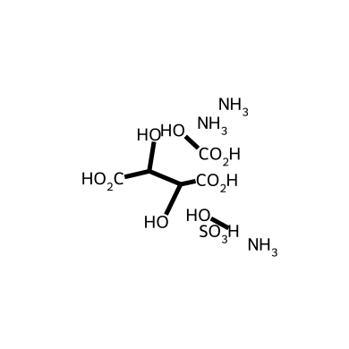 N.N.N.O=C(O)C(O)C(O)C(=O)O.O=C(O)O.O=S(=O)(O)O